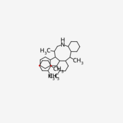 CC1CCCCC1C1C(C)CCC2C(C)C3CCCCC3NCC(C)C(C3CCCCC3C)C21